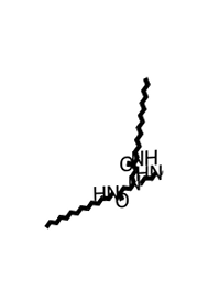 CCCCCCCCCCCCCNC(=O)CCN(CCCNC)CCC(=O)NCCCCCCCCCCCCC